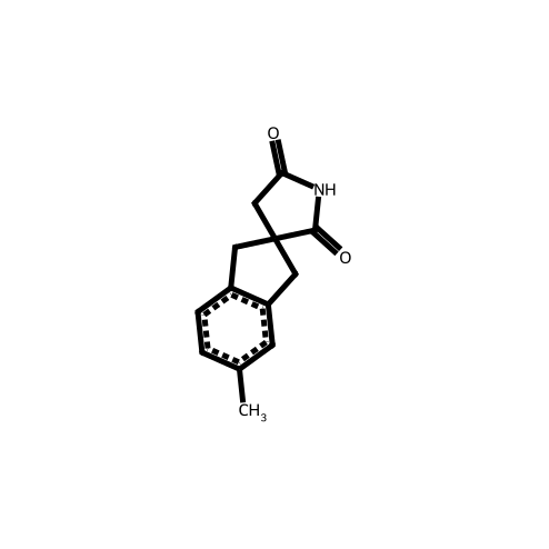 Cc1ccc2c(c1)CC1(CC(=O)NC1=O)C2